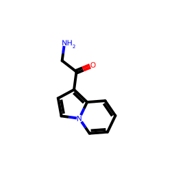 NCC(=O)c1ccn2ccccc12